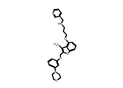 Cc1c(COc2cccc(N3CCOCC3)c2)oc2cccc(OCCCNCc3cccnc3)c12